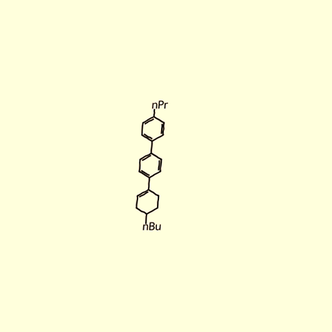 CCCCC1CC=C(c2ccc(-c3ccc(CCC)cc3)cc2)CC1